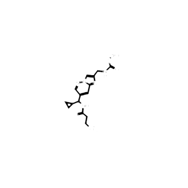 CC(C)(C)OC(=O)NCc1cn2ncc(C(NC(=O)CCC(F)(F)F)C3CC3)cc2n1